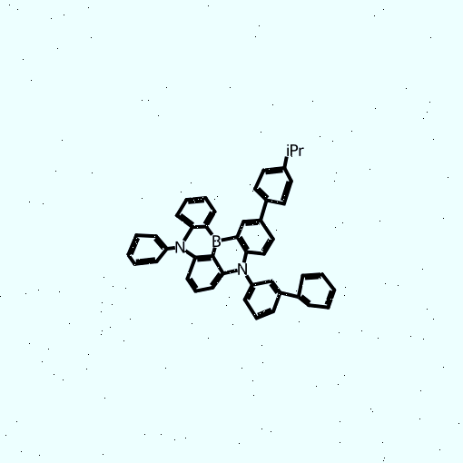 CC(C)c1ccc(-c2ccc3c(c2)B2c4ccccc4N(c4ccccc4)c4cccc(c42)N3c2cccc(-c3ccccc3)c2)cc1